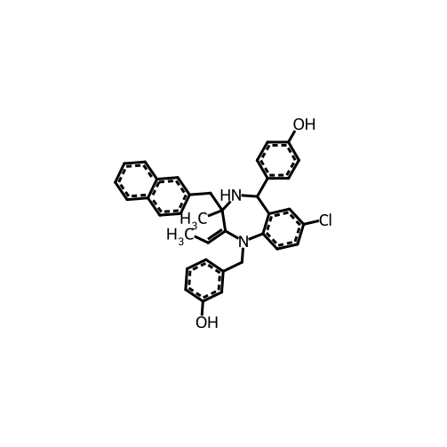 C/C=C1/N(Cc2cccc(O)c2)c2ccc(Cl)cc2C(c2ccc(O)cc2)NC1(C)Cc1ccc2ccccc2c1